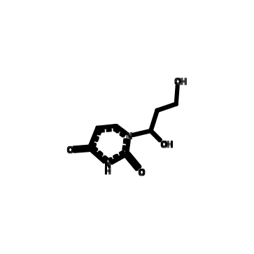 O=c1ccn(C(O)CCO)c(=O)[nH]1